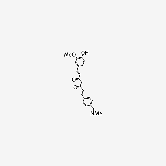 CNCc1ccc(/C=C/C(=O)CC(=O)/C=C/c2ccc(O)c(OC)c2)cc1